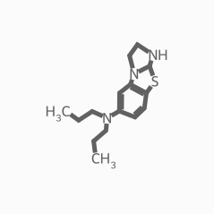 CCCN(CCC)c1ccc2c(c1)N1CCNC1S2